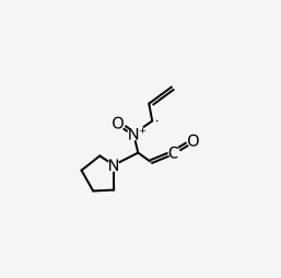 C=C[CH][N+](=O)C(C=C=O)N1CCCC1